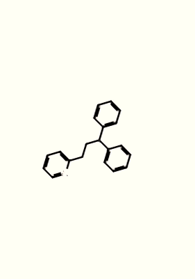 c1ccc([C](CCc2ccccn2)c2ccccc2)cc1